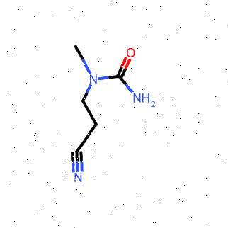 CN(CCC#N)C(N)=O